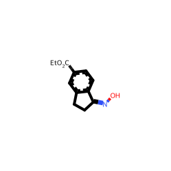 CCOC(=O)c1ccc2c(c1)CC/C2=N/O